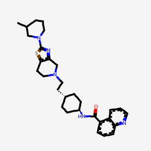 CC1CCCN(c2nc3c(s2)CCN(CC[C@H]2CC[C@H](NC(=O)c4cccc5ncccc45)CC2)C3)C1